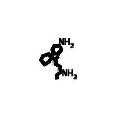 C=C/C(N)=C\C=C(/C)C1(c2ccc(N)cc2)CCCCC1